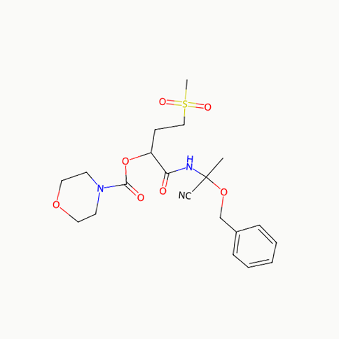 CC(C#N)(NC(=O)C(CCS(C)(=O)=O)OC(=O)N1CCOCC1)OCc1ccccc1